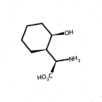 N[C@@H](C(=O)O)[C@H]1CCCC[C@H]1O